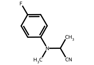 CC(C#N)N(C)c1ccc(F)cc1